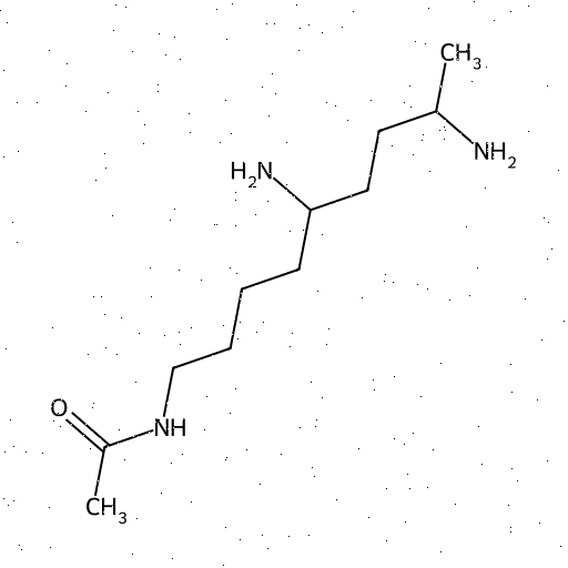 CC(=O)NCCCCC(N)CCC(C)N